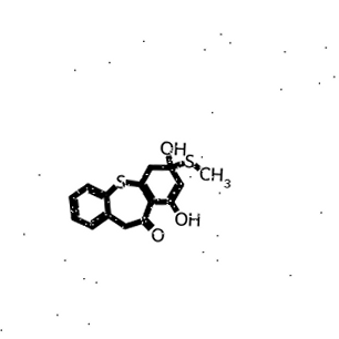 CSC1(O)C=C(O)C2=C(C1)Sc1ccccc1CC2=O